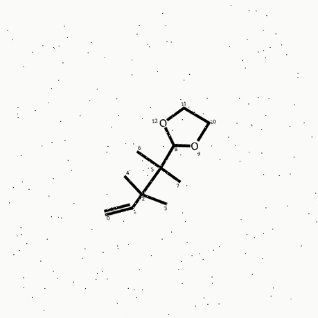 C=CC(C)(C)C(C)(C)C1OCCO1